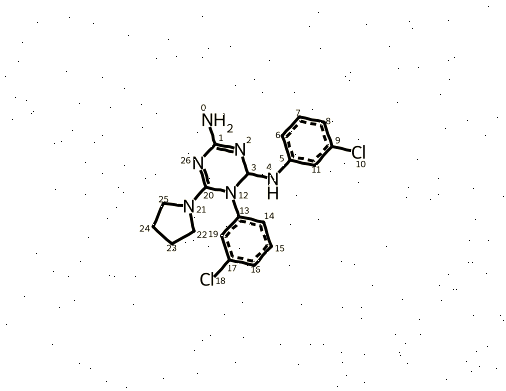 NC1=NC(Nc2cccc(Cl)c2)N(c2cccc(Cl)c2)C(N2CCCC2)=N1